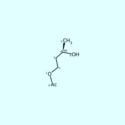 CC(=O)OCC[C@@H](C)O